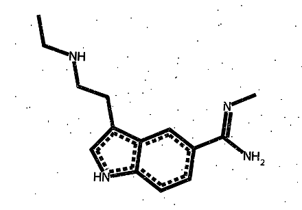 CCNCCc1c[nH]c2ccc(C(N)=NC)cc12